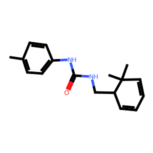 Cc1ccc(NC(=O)NCC2C=CC=CC2(C)C)cc1